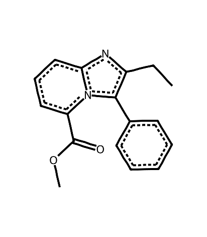 CCc1nc2cccc(C(=O)OC)n2c1-c1ccccc1